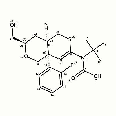 CC(C)(C)N(C(=O)O)C1=N[C@@]2(c3ccccc3F)CO[C@@H](CO)C[C@H]2CS1